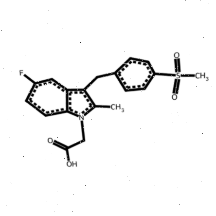 Cc1c(Cc2ccc(S(C)(=O)=O)cc2)c2cc(F)ccc2n1CC(=O)O